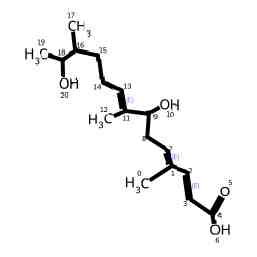 CC(/C=C/C(=O)O)=C\CC(O)/C(C)=C/CCC(C)C(C)O